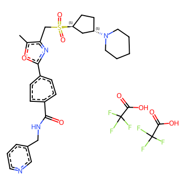 Cc1oc(-c2ccc(C(=O)NCc3cccnc3)cc2)nc1CS(=O)(=O)[C@H]1CC[C@H](N2CCCCC2)C1.O=C(O)C(F)(F)F.O=C(O)C(F)(F)F